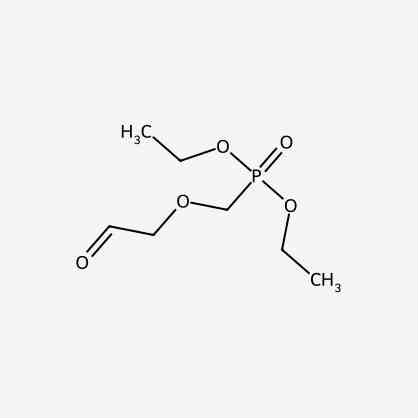 CCOP(=O)(COCC=O)OCC